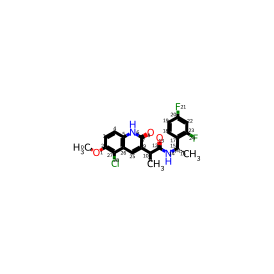 COc1ccc2[nH]c(=O)c(C(C)C(=O)N[C@@H](C)c3ccc(F)cc3F)cc2c1Cl